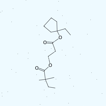 CCC1(OC(=O)CCOC(=O)C(C)(C)CC)CCCC1